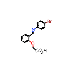 O=C(O)COc1ccccc1C=Nc1ccc(Br)cc1